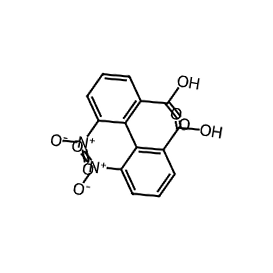 O=C(O)c1cccc([N+](=O)[O-])c1-c1c(C(=O)O)cccc1[N+](=O)[O-]